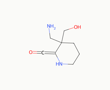 NCC1(CO)CCCNC1=C=O